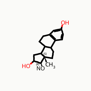 C[C@]12CCC3c4ccc(O)cc4CCC3C1CC(O)[C@@H]2N=O